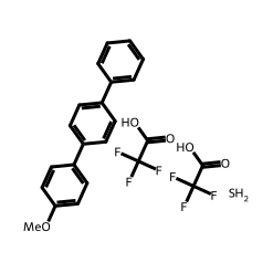 COc1ccc(-c2ccc(-c3ccccc3)cc2)cc1.O=C(O)C(F)(F)F.O=C(O)C(F)(F)F.S